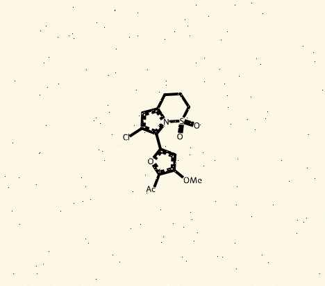 COc1cc(-c2c(Cl)cc3n2S(=O)(=O)CCC3)oc1C(C)=O